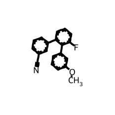 COc1cccc(-c2c(F)cccc2-c2cccc(C#N)c2)c1